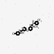 Cn1c(Nc2cccc(C(F)(F)F)c2)nc2cc(Oc3ccnc(-c4nc5cc(Cl)ccc5[nH]4)c3)ccc21